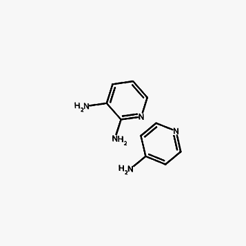 Nc1cccnc1N.Nc1ccncc1